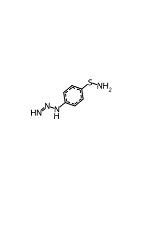 N=NNc1ccc(SN)cc1